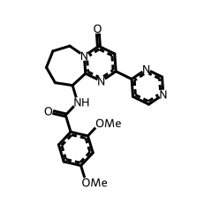 COc1ccc(C(=O)NC2CCCCn3c2nc(-c2ccncn2)cc3=O)c(OC)c1